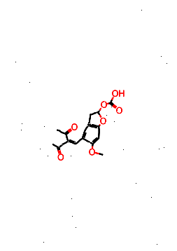 COc1cc2c(cc1C=C(C(C)=O)C(C)=O)CC(OC(=O)O)O2